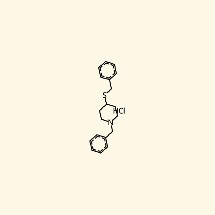 Cl.c1ccc(CSC2CCN(Cc3ccccc3)CC2)cc1